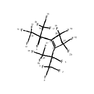 FC(F)(F)C(F)(C1=C(C(F)(C(F)(F)F)C(F)(F)F)C(F)(F)C1(F)F)C(F)(F)F